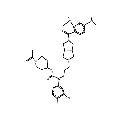 CC(=O)N1CCC(OC(=O)N(CCCN2CC3CN(C(=O)c4ccc(N(C)C)nc4N(C)C)CC3C2)c2ccc(C)c(Cl)c2)CC1